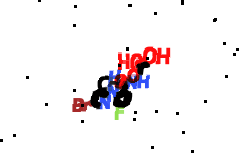 Cc1cc(Br)cnc1Nc1cc(F)ccc1C(=O)NOCC(O)CO